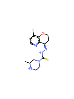 CC1CN(C(=S)N/N=C2/CCOc3c(Cl)ccnc32)CCN1